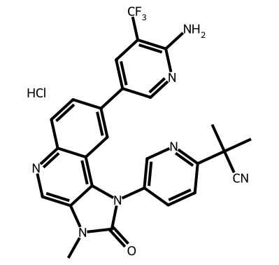 Cl.Cn1c(=O)n(-c2ccc(C(C)(C)C#N)nc2)c2c3cc(-c4cnc(N)c(C(F)(F)F)c4)ccc3ncc21